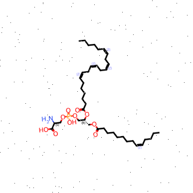 CCCC/C=C\CCCCCCCC(=O)OC[C@H](COP(=O)(O)OC[C@H](N)C(=O)O)OC(=O)CCCCC/C=C\C/C=C\C/C=C\C/C=C\CCCCC